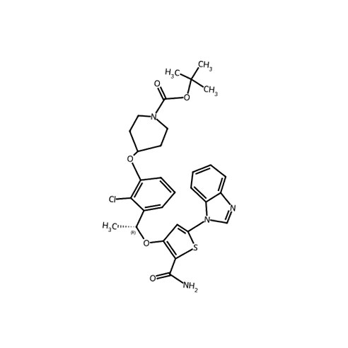 C[C@@H](Oc1cc(-n2cnc3ccccc32)sc1C(N)=O)c1cccc(OC2CCN(C(=O)OC(C)(C)C)CC2)c1Cl